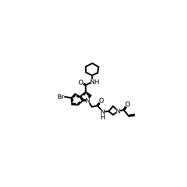 C=CC(=O)N1CC(NC(=O)Cn2cc(C(=O)NC3CCCCC3)c3cc(Br)ccc32)C1